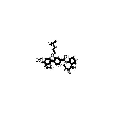 CCCN(C)CCCOc1cc(C(=O)N2CC[C@H](C)Nc3ccccc32)ccc1-c1ccc(NCC)c(OC)c1